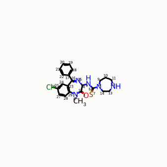 CN1C(=O)C(NC(=S)N2CCCNCC2)N=C(c2ccccc2)c2cc(Cl)ccc21